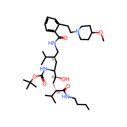 CCCCNC(=O)[C@@H](C[C@H](O)C(C[C@H](CNC(=O)c1ccccc1CCN1CCC(OC)CC1)C(C)C)NC(=O)OC(C)(C)C)C(C)C